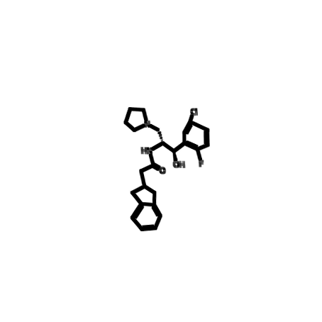 O=C(CC1Cc2ccccc2C1)N[C@H](CN1CCCC1)[C@H](O)c1cc(Cl)ccc1F